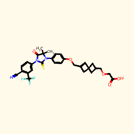 CC1(C)C(=O)N(c2ccc(C#N)c(C(F)(F)F)c2)C(=S)N1c1ccc(OCC2CC3(CC(COCC(=O)O)C3)C2)cc1